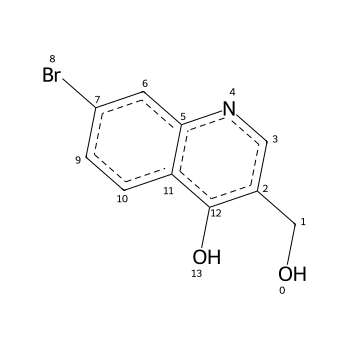 OCc1cnc2cc(Br)ccc2c1O